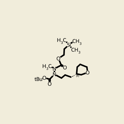 CN(C(=O)OCC[Si](C)(C)C)N(CCC[C@@H]1CCCOC1)C(=O)OC(C)(C)C